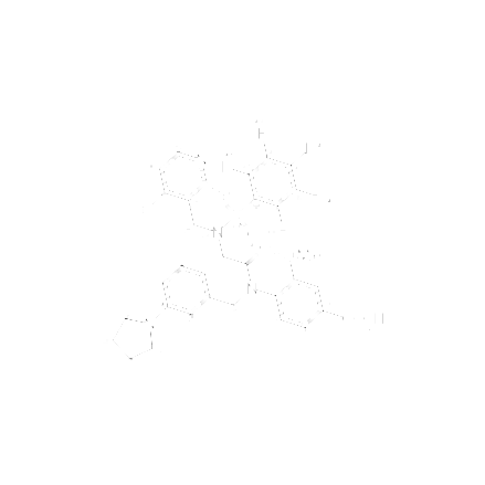 COc1cc(C(=O)O)ccc1N(Cc1cccc(N2CCCC2)c1)C(=O)CN(Cc1cnccc1C(F)(F)F)S(=O)(=O)c1c(F)c(F)c(F)c(F)c1F